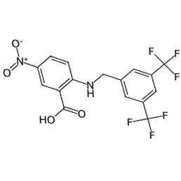 O=C(O)c1cc([N+](=O)[O-])ccc1NCc1cc(C(F)(F)F)cc(C(F)(F)F)c1